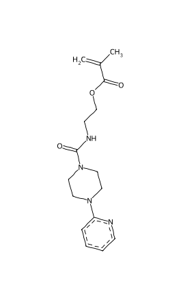 C=C(C)C(=O)OCCNC(=O)N1CCN(c2ccccn2)CC1